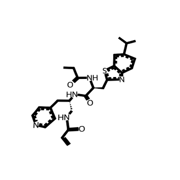 C=CC(=O)NC[C@H](Cc1ccncc1)NC(=O)[C@H](Cc1nc2ccc(C(C)C)cc2s1)NC(=O)CC